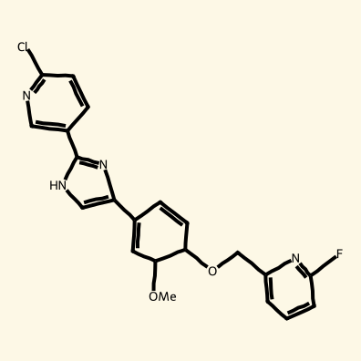 COC1C=C(c2c[nH]c(-c3ccc(Cl)nc3)n2)C=CC1OCc1cccc(F)n1